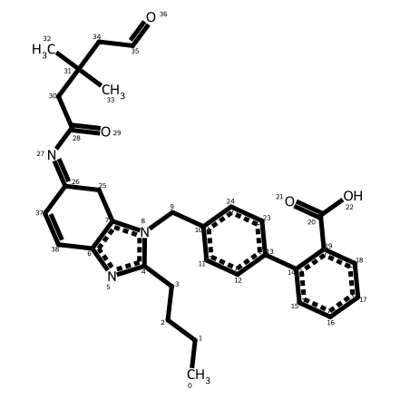 CCCCc1nc2c(n1Cc1ccc(-c3ccccc3C(=O)O)cc1)CC(=NC(=O)CC(C)(C)CC=O)C=C2